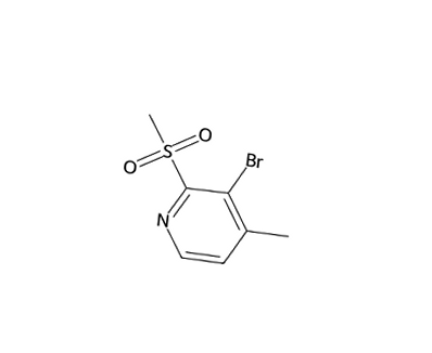 Cc1ccnc(S(C)(=O)=O)c1Br